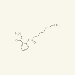 CCCCCCCCC(=O)Oc1ccccc1C(=O)CN